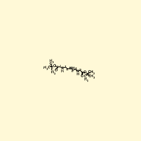 CC(C)(C)OC(=O)CNCCNCCNCC(=O)OC(C)(C)C